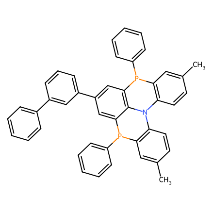 Cc1ccc2c(c1)P(c1ccccc1)c1cc(-c3cccc(-c4ccccc4)c3)cc3c1N2c1ccc(C)cc1P3c1ccccc1